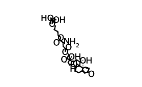 C[C@H]1CC2[C@@H]3CCC4=CC(=O)C=C[C@]4(C)C3(Cl)[C@@H](O)C[C@]2(C)[C@@]1(O)C(=O)COC(=O)CC(N)C(=O)OCCCCON(O)O